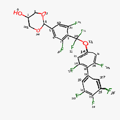 OC1COC(c2cc(F)c(C(F)(F)Oc3cc(F)c(-c4cc(F)c(F)c(F)c4)c(F)c3)c(F)c2)OC1